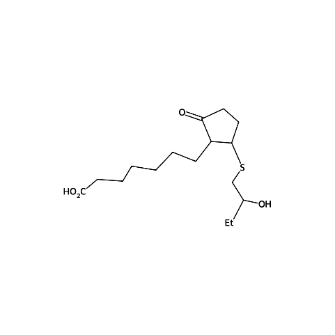 CCC(O)CSC1CCC(=O)C1CCCCCCC(=O)O